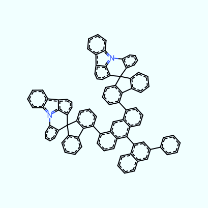 c1ccc(-c2cc(-c3c4cccc(-c5cccc6c5-c5ccccc5C65c6ccccc6-n6c7ccccc7c7cccc5c76)c4cc4c(-c5cccc6c5-c5ccccc5C65c6ccccc6-n6c7ccccc7c7cccc5c76)cccc34)c3ccccc3c2)cc1